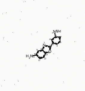 CNc1cccc(-c2nc3cc(N)ccc3o2)c1